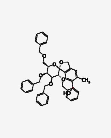 Cc1cc2c(cc1CO)[C@]1(OC2)O[C@H](COCc2ccccc2)[C@H](OCc2ccccc2)[C@H](OCc2ccccc2)[C@H]1OCc1ccccc1